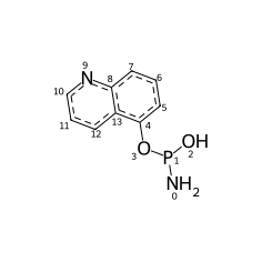 NP(O)Oc1cccc2ncccc12